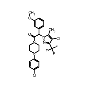 COc1cccc(C(C(=O)N2CCN(c3ccc(Cl)cc3)CC2)n2nc(C(F)(F)F)c(Cl)c2C)c1